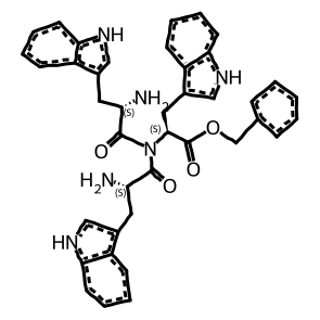 N[C@@H](Cc1c[nH]c2ccccc12)C(=O)N(C(=O)[C@@H](N)Cc1c[nH]c2ccccc12)[C@@H](Cc1c[nH]c2ccccc12)C(=O)OCc1ccccc1